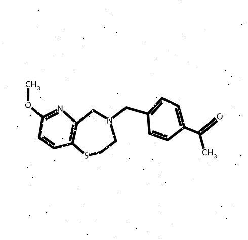 COc1ccc2c(n1)CN(Cc1ccc(C(C)=O)cc1)CCS2